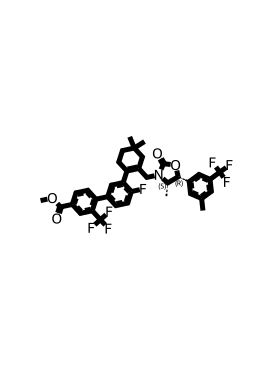 COC(=O)c1ccc(-c2ccc(F)c(C3=C(CN4C(=O)O[C@H](c5cc(C)cc(C(F)(F)F)c5)[C@@H]4C)CC(C)(C)CC3)c2)c(C(F)(F)F)c1